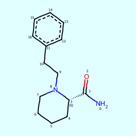 NC(=O)[C@@H]1CCCCN1C[CH]c1ccccc1